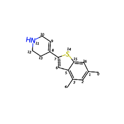 Cc1cc(C)c2cc(C3=CCNCC3)sc2c1